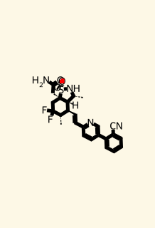 C[C@H]1NS(=O)(=O)[C@]2(CC(N)=O)CC(F)(F)[C@@H](C)[C@H](/C=C/c3ccc(-c4ccccc4C#N)cn3)[C@H]12